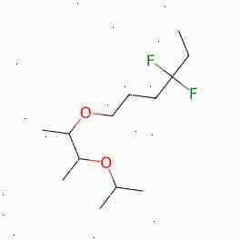 CCC(F)(F)CCCOC(C)C(C)OC(C)C